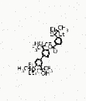 CCC(C)(CC)Oc1ccc(-c2ccc(OC(=O)c3cccc(C(=O)C(C)(CC)CC)c3)c(C(O)(C(F)(F)F)C(F)(F)F)c2)cc1C(O)(C(F)(F)F)C(F)(F)F